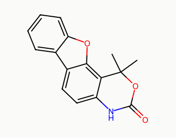 CC1(C)OC(=O)Nc2ccc3c(oc4ccccc43)c21